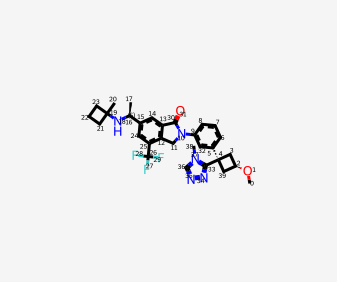 CO[C@H]1C[C@](c2cccc(N3Cc4c(cc([C@H](C)NC5(C)CCC5)cc4C(F)(F)F)C3=O)c2)(c2nncn2C)C1